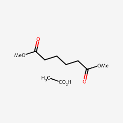 CC(=O)O.COC(=O)CCCCC(=O)OC